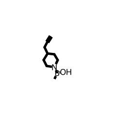 C#CCC1CCN(B(C)O)CC1